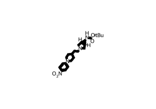 CC(C)(C)OC(=O)NC1[C@H]2CN(CCC3CCN(c4ccc([N+](=O)[O-])cc4)CC3)C[C@@H]12